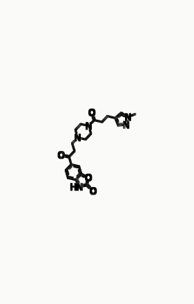 Cn1cc(CCC(=O)N2CCN(CCC(=O)c3ccc4[nH]c(=O)oc4c3)CC2)cn1